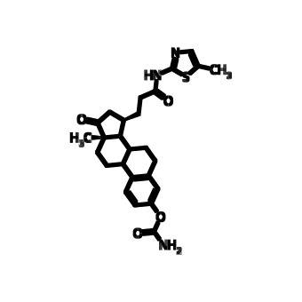 Cc1cnc(NC(=O)CC[C@@H]2CC(=O)[C@@]3(C)CCC4c5ccc(OC(N)=O)cc5CCC4C23)s1